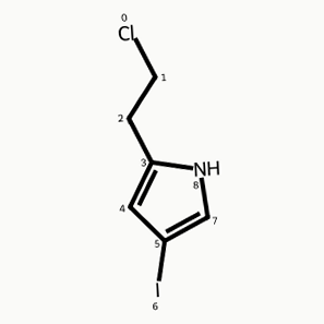 ClC[CH]c1cc(I)c[nH]1